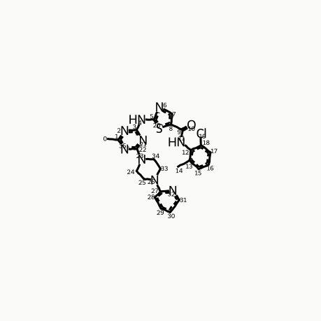 Cc1nc(Nc2ncc(C(=O)Nc3c(C)cccc3Cl)s2)nc(N2CCN(c3ccccn3)CC2)n1